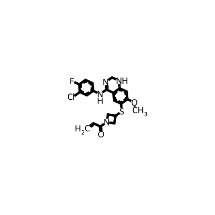 C=CC(=O)N1CC(Sc2cc3c(cc2OC)NCN=C3Nc2ccc(F)c(Cl)c2)C1